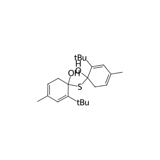 CC1=CCC(O)(SC2(O)CC=C(C)C=C2C(C)(C)C)C(C(C)(C)C)=C1